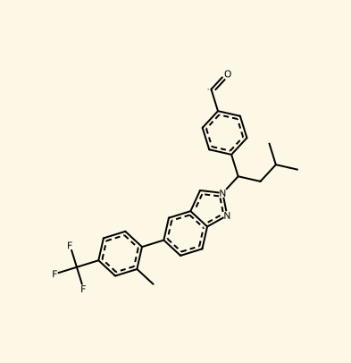 Cc1cc(C(F)(F)F)ccc1-c1ccc2nn(C(CC(C)C)c3ccc([C]=O)cc3)cc2c1